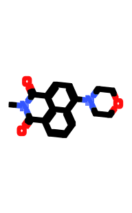 CN1C(=O)c2cccc3c(N4CCOCC4)ccc(c23)C1=O